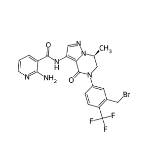 C[C@H]1CN(c2ccc(C(F)(F)F)c(CBr)c2)C(=O)c2c(NC(=O)c3cccnc3N)cnn21